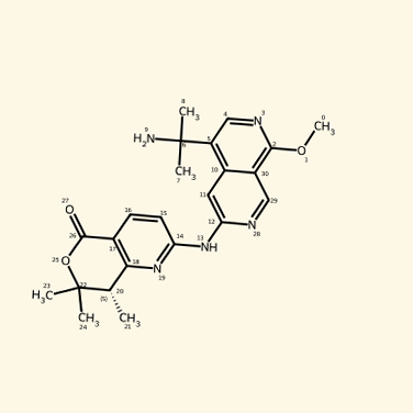 COc1ncc(C(C)(C)N)c2cc(Nc3ccc4c(n3)[C@H](C)C(C)(C)OC4=O)ncc12